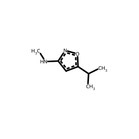 CNc1cc(C(C)C)on1